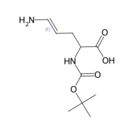 CC(C)(C)OC(=O)NC(C/C=C/N)C(=O)O